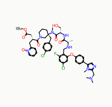 C[C@H](NCc1c(F)cc(Cl)cc1Oc1ccc(-c2cnc(CN(C)C)n2C)cc1)C(=O)N[C@@H](CO)C(=O)N(C)[C@@]1(Cc2ccc(Cl)cc2)CCCN(C(=O)[C@@H](CC(=O)OC(C)(C)C)Cc2cccc[n+]2[O-])C1